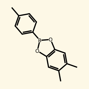 Cc1ccc(B2Oc3cc(C)c(C)cc3O2)cc1